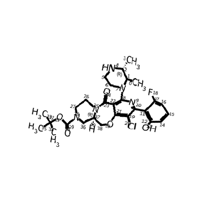 CC1[C@@H](C)NCCN1c1nc(-c2c(O)cccc2F)c(Cl)c2c1C(=O)N1CCN(C(=O)OC(C)(C)C)C[C@@H]1CO2